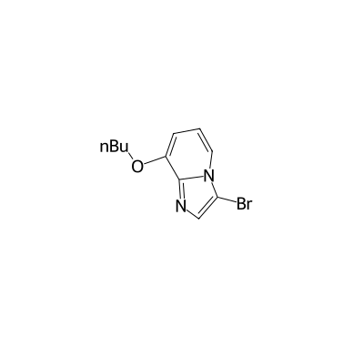 CCCCOc1cccn2c(Br)cnc12